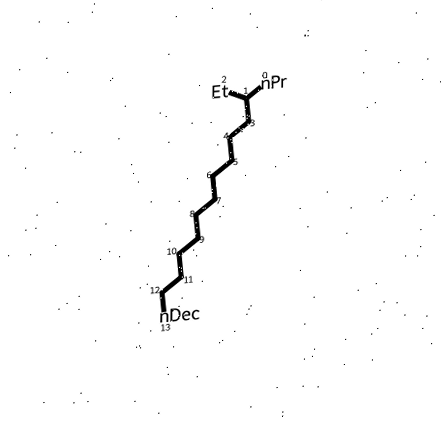 [CH2]CCC(CC)CCCCCCCCCCCCCCCCCCCC